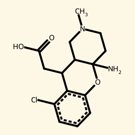 CN1CCC2(N)Oc3cccc(Cl)c3C(CC(=O)O)C2C1